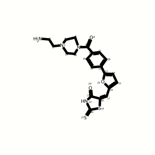 NCCN1CCN(C(=O)c2ccc(-c3ccc(C=C4SC(=S)NC4=O)o3)cc2)CC1